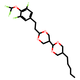 CCCCCC1COC(C2COC(CCc3cc(F)c(OC(F)F)c(F)c3)OC2)OC1